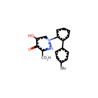 CC(C)(C)c1ccc(-c2ccccc2-n2cc(O)c(=O)c(C(=O)O)n2)cc1